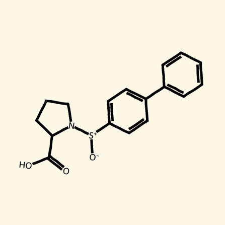 O=C(O)C1CCCN1[S+]([O-])c1ccc(-c2ccccc2)cc1